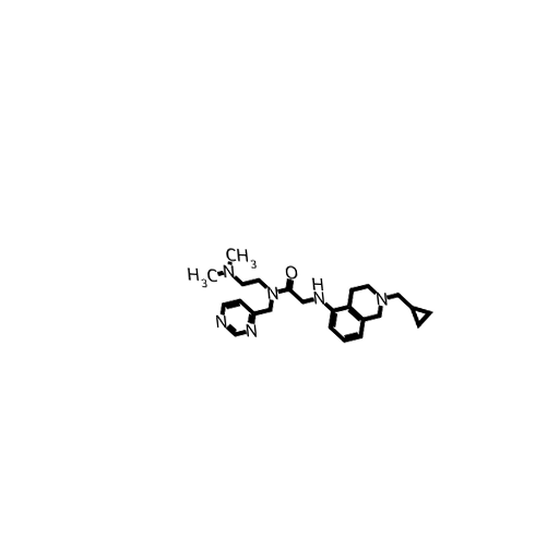 CN(C)CCN(Cc1ccncn1)C(=O)CNc1cccc2c1CCN(CC1CC1)C2